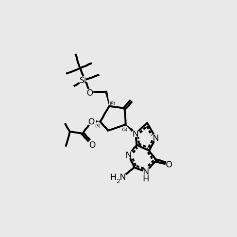 C=C1[C@H](CO[Si](C)(C)C(C)(C)C)[C@@H](OC(=O)C(C)C)C[C@@H]1n1cnc2c(=O)[nH]c(N)nc21